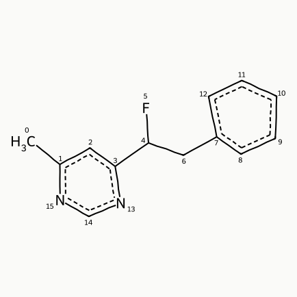 Cc1cc(C(F)Cc2ccccc2)ncn1